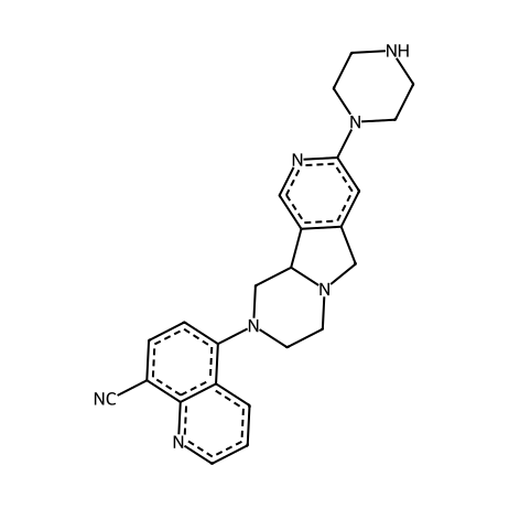 N#Cc1ccc(N2CCN3Cc4cc(N5CCNCC5)ncc4C3C2)c2cccnc12